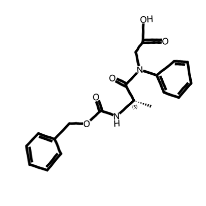 C[C@H](NC(=O)OCc1ccccc1)C(=O)N(CC(=O)O)c1ccccc1